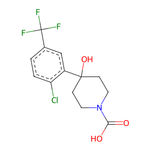 O=C(O)N1CCC(O)(c2cc(C(F)(F)F)ccc2Cl)CC1